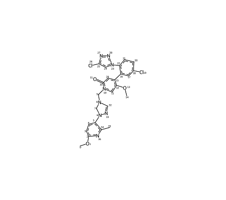 COc1ccc(N2CN(Cn3cc(OC)c(-c4cc(Cl)ccc4-n4cc(Cl)nn4)cc3=O)C=N2)c(C)n1